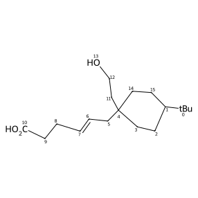 CC(C)(C)C1CCC(CC=CCCC(=O)O)(CCO)CC1